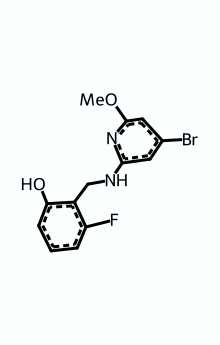 COc1cc(Br)cc(NCc2c(O)cccc2F)n1